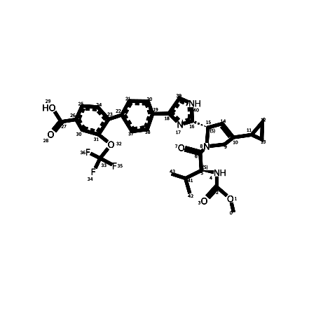 COC(=O)N[C@H](C(=O)N1CC(C2CC2)=C[C@H]1c1nc(-c2ccc(-c3ccc(C(=O)O)cc3OC(F)(F)F)cc2)c[nH]1)C(C)C